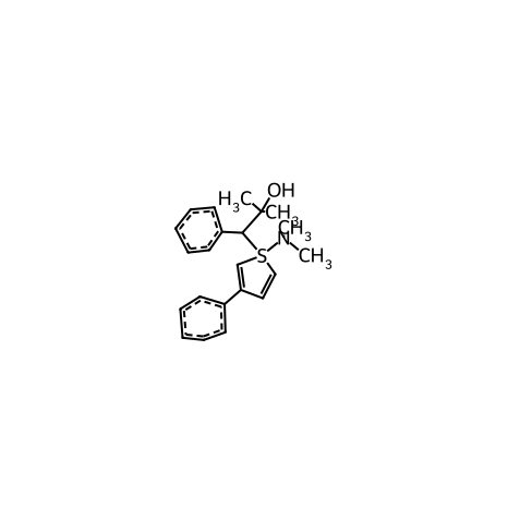 CN(C)S1(C(c2ccccc2)C(C)(C)O)C=CC(c2ccccc2)=C1